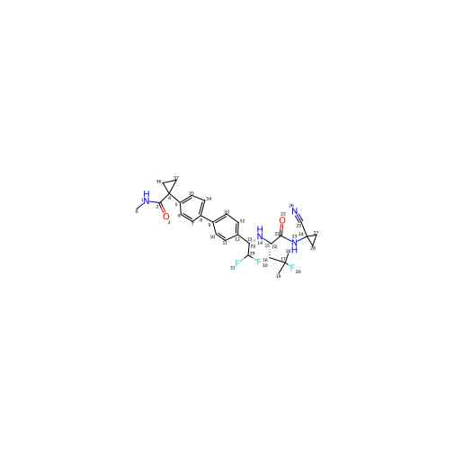 CNC(=O)C1(c2ccc(-c3ccc([C@H](N[C@@H](CC(C)(C)F)C(=O)NC4(C#N)CC4)C(F)F)cc3)cc2)CC1